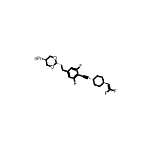 CCC[C@H]1CO[C@H](CCc2cc(F)c(C#C[C@H]3CC[C@H](C=C(F)F)CC3)c(F)c2)OC1